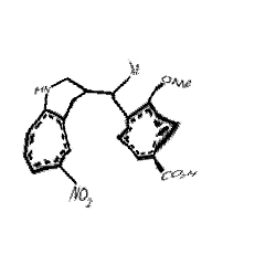 COc1cc(C(=O)O)ccc1C(C(C)=O)C1CNc2ccc([N+](=O)[O-])cc21